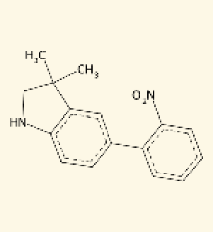 CC1(C)CNc2ccc(-c3ccccc3[N+](=O)[O-])cc21